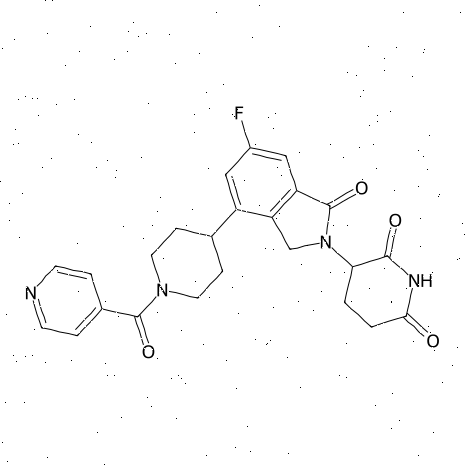 O=C1CCC(N2Cc3c(cc(F)cc3C3CCN(C(=O)c4ccncc4)CC3)C2=O)C(=O)N1